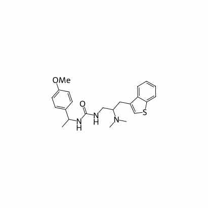 COc1ccc(C(C)NC(=O)NCC(Cc2csc3ccccc23)N(C)C)cc1